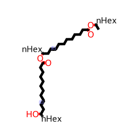 CCCCCCC(O)C/C=C/CCCCCCCC(=O)OC(C/C=C/CCCCCCCC(=O)OC(C)CCCCCC)CCCCCC